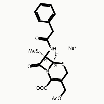 CS[C@@]1(NC(=O)Cc2ccccc2)C(=O)N2C(C(=O)[O-])=C(COC(C)=O)CS[C@@H]21.[Na+]